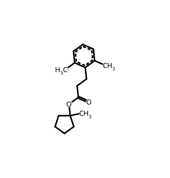 Cc1cccc(C)c1CCC(=O)OC1(C)CCCC1